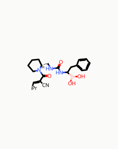 CC(C)C=C(C#N)C(=O)N1CCCC[C@@H]1CNC(=O)NC(Cc1ccccc1)B(O)O